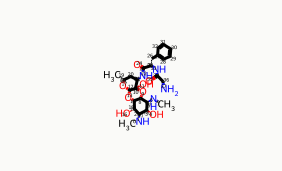 CN[C@@H]1[C@H](O)[C@H](NC)C2O[C@]3(O)C(OC2[C@H]1O)O[C@H](C)C[C@H]3NC(=O)[C@H](Cc1ccccc1)NC(=O)CN